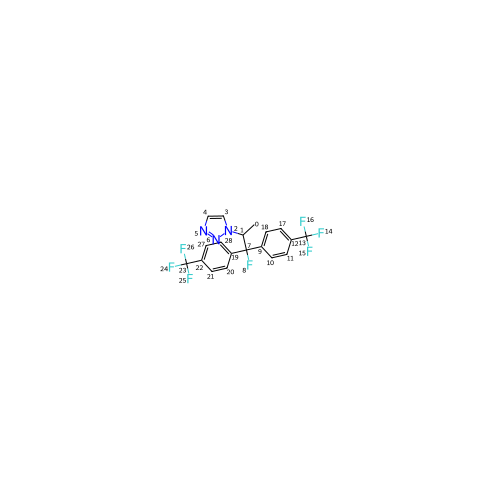 CC(n1ccnn1)C(F)(c1ccc(C(F)(F)F)cc1)c1ccc(C(F)(F)F)cc1